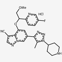 COCC(Oc1cc(-c2nnn(C3CCNCC3)c2C)cn2ncc(C#N)c12)c1ccc(F)cn1.Cl